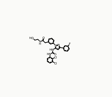 O=C(Cc1cccc(-n2nc(-c3cccc(F)c3)cc2NC(=O)Nc2cccc(Cl)c2Cl)c1)NCCO